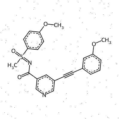 COc1ccc(S(C)(=O)=NC(=O)c2cncc(C#Cc3cccc(OC)c3)c2)cc1